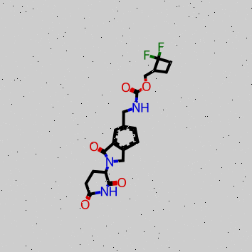 O=C1CCC(N2Cc3ccc(CNC(=O)OCC4CCC4(F)F)cc3C2=O)C(=O)N1